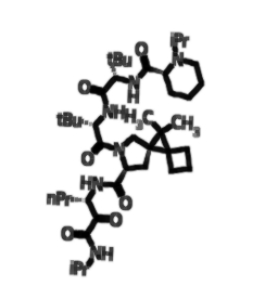 CCC[C@H](NC(=O)[C@@H]1C[C@@]2(CN1C(=O)[C@@H](NC(=O)[C@@H](NC(=O)[C@@H]1CCCCN1C(C)C)C(C)(C)C)C(C)(C)C)C(C)(C)C21CCC1)C(=O)C(=O)NC(C)C